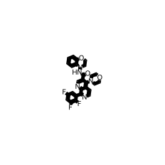 O=C(NN1CCOc2ccccc21)c1cnc2c(-c3cc(F)cc(F)c3F)nccc2c1N1CCOCC1